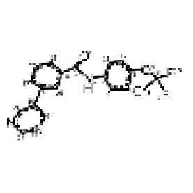 O=C(Nc1ccc(OC(F)(F)Cl)cc1)c1cccc(-c2cncnc2)c1